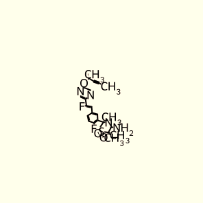 CC#C[C@@H](C)Oc1cnc(/C(F)=C/c2ccc(F)c([C@]3(C)CS(=O)(=O)C(C)(C)C(N)=N3)c2)cn1